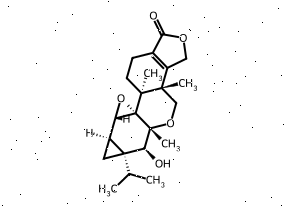 CC(C)[C@]12C[C@H]1[C@@H]1O[C@@]13[C@@]1(C)CCC4=C(COC4=O)[C@]1(C)CO[C@]3(C)[C@H]2O